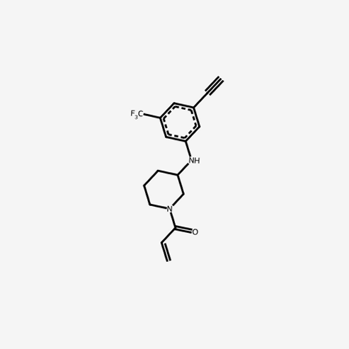 C#Cc1cc(NC2CCCN(C(=O)C=C)C2)cc(C(F)(F)F)c1